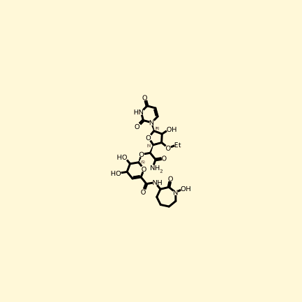 CCOC1C(O)[C@H](n2ccc(=O)[nH]c2=O)O[C@@H]1C(O[C@H]1OC(C(=O)NC2CCCCN(O)C2=O)=CC(O)C1O)C(N)=O